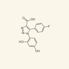 O=C(O)c1nnn(-c2ccc(O)cc2O)c1-c1ccc(F)cc1